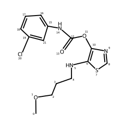 COCCCNc1scnc1OC(=O)Nc1cccc(Cl)c1